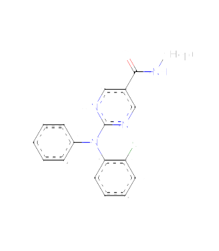 CCCCCCCNC(=O)c1cnc(N(c2ccccc2)c2ccccc2Cl)nc1